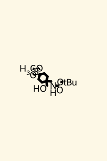 CC(C)(C)OC(=O)NCC1(CO)CCC(S(C)(=O)=O)CC1